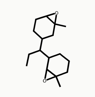 CCC(C1CCC2OC2(C)C1)C1CCCC2(C)OC12